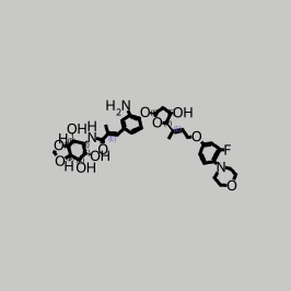 C/C(=C\c1ccc(O[C@H]2C[C@H](O)[C@@H](/C(C)=C/COc3ccc(N4CCOCC4)c(F)c3)O2)c(N)c1)C(=O)N[C@@H]1[C@H](O)[C@@H](O)[C@H]2OCO[C@H]2[C@@H]1O